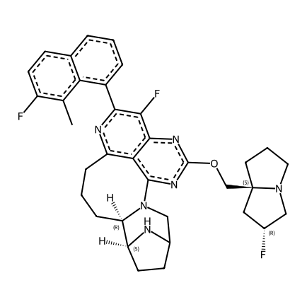 Cc1c(F)ccc2cccc(-c3nc4c5c(nc(OC[C@@]67CCCN6C[C@H](F)C7)nc5c3F)N3CC5CC[C@H](N5)[C@H]3CCC4)c12